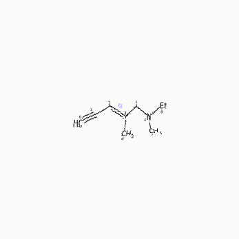 C#C/C=C(\C)CN(C)CC